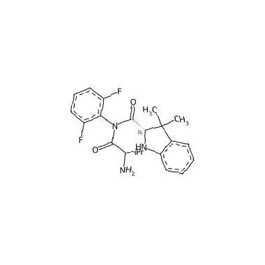 CC(C)C(N)C(=O)N(C(=O)[C@H]1Nc2ccccc2C1(C)C)c1c(F)cccc1F